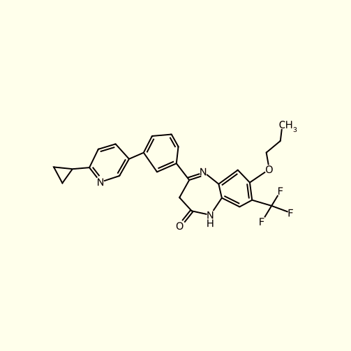 CCCOc1cc2c(cc1C(F)(F)F)NC(=O)CC(c1cccc(-c3ccc(C4CC4)nc3)c1)=N2